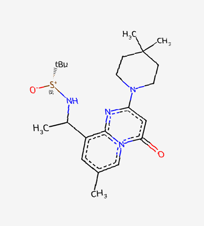 Cc1cc(C(C)N[S@+]([O-])C(C)(C)C)c2nc(N3CCC(C)(C)CC3)cc(=O)n2c1